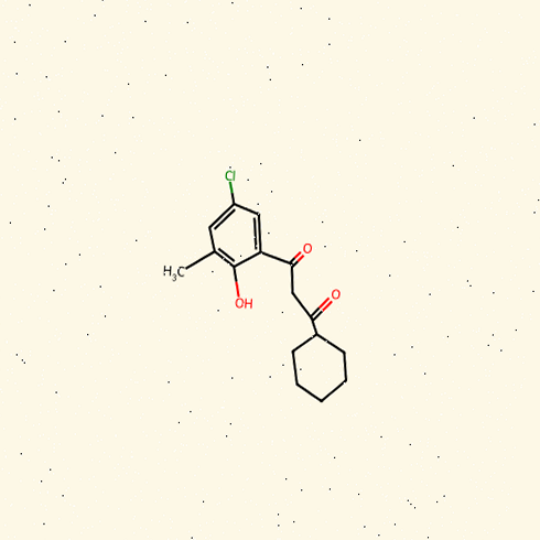 Cc1cc(Cl)cc(C(=O)CC(=O)C2CCCCC2)c1O